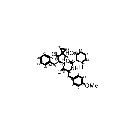 COc1ccc(C[C@H](NC(=O)[C@H]2NCCC[C@H]2O)C(=O)N[C@@H](Cc2ccccc2)C(=O)C2(C)CC2)cc1